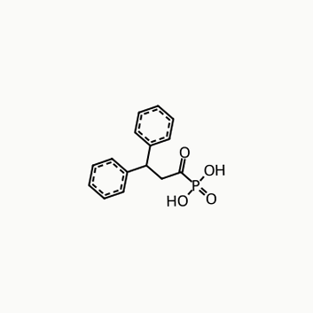 O=C(CC(c1ccccc1)c1ccccc1)P(=O)(O)O